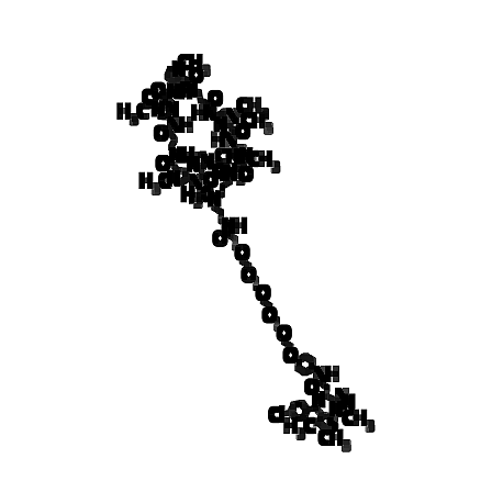 Cc1sc2c(c1C)C(c1ccc(Cl)cc1)=N[C@@H](CC(=O)Nc1ccc(OCCOCCOCCOCCOCCOCCC(=O)NCCCN(C)CCCNC(=O)c3cc(NC(=O)c4nc(NC(=O)CCNC(=O)c5c(NC(=O)c6nc(NC(=O)CCNC(=O)c7cc(NC(=O)c8nccn8C(C)C)cn7C)cn6C(C)C)ccn5C)cn4C(C)C)cn3C)cc1)c1nnc(C)n1-2